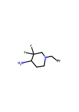 C[C](C)CN1CCC(N)C(F)(F)C1